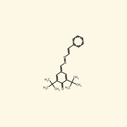 CC(C)(C)C1=CC(=C/N=N/C=C/c2ccccc2)C=C(C(C)(C)C)C1=O